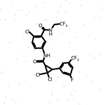 O=C(NCC(F)(F)F)c1cc(NC(=O)C2C(c3cc(F)cc(C(F)(F)F)c3)C2(Cl)Cl)ccc1Cl